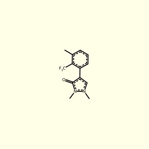 Cc1cccc(-c2cn(C)n(C)c2=O)c1C(F)(F)F